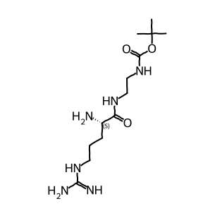 CC(C)(C)OC(=O)NCCNC(=O)[C@@H](N)CCCNC(=N)N